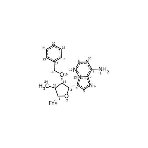 CC[C@H]1O[C@@H](c2cnc3c(N)ncnn23)[C@@H](OCc2ccccc2)C1C